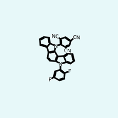 N#Cc1cc(C#N)c(-n2c3ccccc3c3ccc4c(c5ccccc5n4-c4cc(F)ccc4F)c32)c(C#N)c1